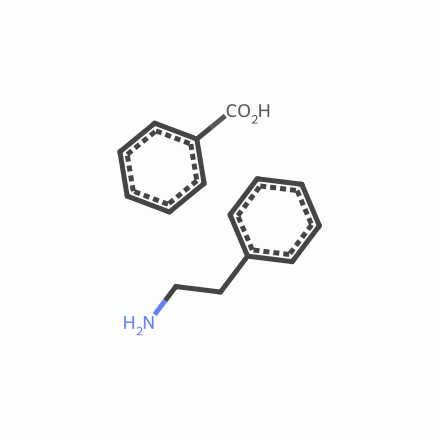 NCCc1ccccc1.O=C(O)c1ccccc1